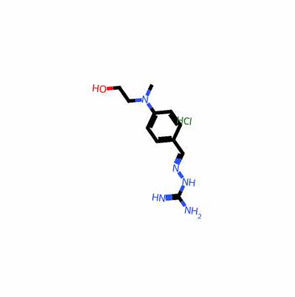 CN(CCO)c1ccc(C=NNC(=N)N)cc1.Cl